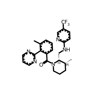 Cc1cccc(C(=O)N2CCC[C@@H](C)[C@H]2CNc2ccc(C(F)(F)F)cn2)c1-c1ncccn1